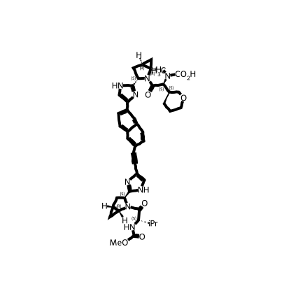 COC(=O)N[C@H](C(=O)N1[C@@H]2C[C@@H]2C[C@H]1c1nc(C#Cc2ccc3cc(-c4c[nH]c([C@@H]5C[C@H]6C[C@H]6N5C(=O)[C@H]([C@@H]5CCCOC5)N(C)C(=O)O)n4)ccc3c2)c[nH]1)C(C)C